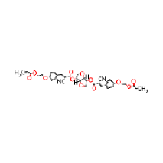 C=CC(=O)OCCOc1ccc(/C=C(\C#N)C(=O)O[C@H]2CO[C@H]3[C@@H]2OC[C@H]3OC(=O)/C(C#N)=C/c2ccc(OCCOC(=O)C=C)cc2)cc1